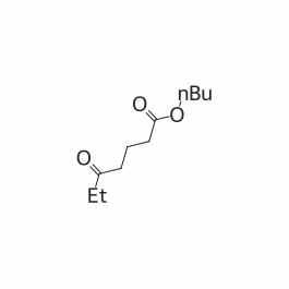 CCCCOC(=O)CCCC(=O)CC